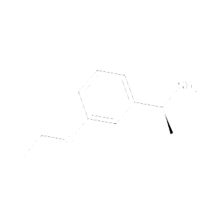 CCOc1cccc([C@H](C)N)c1